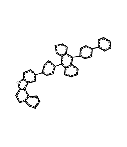 c1ccc(-c2ccc(-c3c4ccccc4c(-c4ccc(-c5ccc6oc7ccc8ccccc8c7c6c5)cc4)c4ccccc34)cc2)cc1